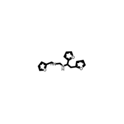 c1coc(CNCNC(Cc2ccco2)c2ccco2)c1